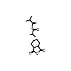 CC(C)C(=O)OC(=O)C(C)C.O=C1OC(=O)C2CCCCC12